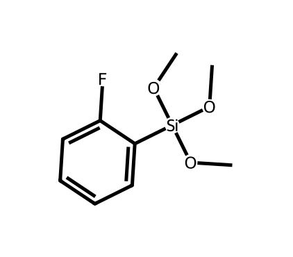 CO[Si](OC)(OC)c1ccccc1F